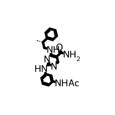 CC(=O)Nc1cccc(Nc2ncc(C(N)=O)c(NC[C@H](C)c3ccccc3)n2)c1